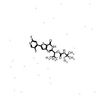 CC(C)[C@H](OC(=O)NC(C)(C)C)c1nc2cc(-c3cc(F)ncc3F)sc2c(=O)[nH]1